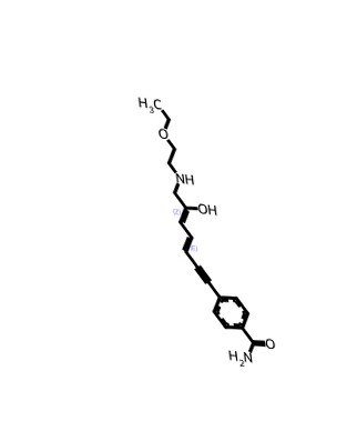 CCOCCNC/C(O)=C/C=C/C#Cc1ccc(C(N)=O)cc1